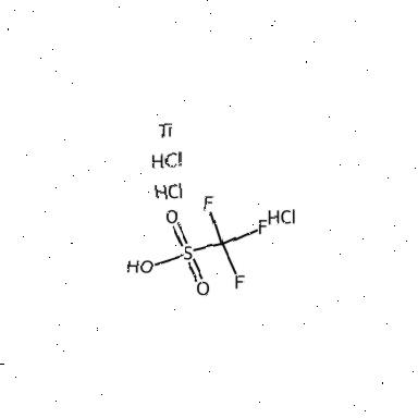 Cl.Cl.Cl.O=S(=O)(O)C(F)(F)F.[Ti]